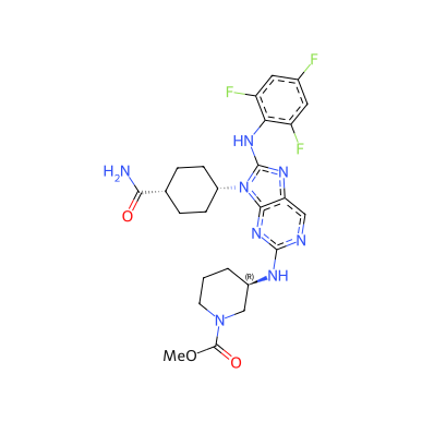 COC(=O)N1CCC[C@@H](Nc2ncc3nc(Nc4c(F)cc(F)cc4F)n([C@H]4CC[C@@H](C(N)=O)CC4)c3n2)C1